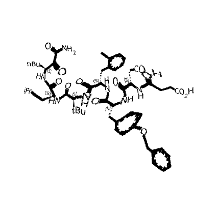 CCCC[C@H](NC(=O)[C@H](CC(C)C)NC(=O)[C@@H](NC(=O)[C@H](Cc1ccccc1C)NC(=O)[C@@H](Cc1ccc(OCc2ccccc2)cc1)NC(=O)[C@H](CC(=O)O)NC(=O)CCC(=O)O)C(C)(C)C)C(=O)C(N)=O